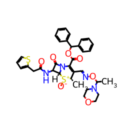 CC(O/N=C/C1=C(C(=O)OC(c2ccccc2)c2ccccc2)N2C(=O)C(NC(=O)Cc3cccs3)[C@H]2[S+]([O-])[C@@H]1C)N1CCOCC1